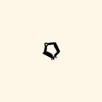 [C]1=[N+]C=CO1